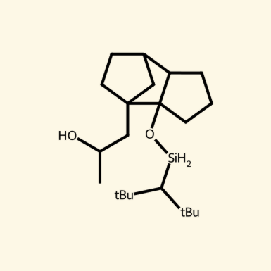 CC(O)CC12CCC(C1)C1CCCC12O[SiH2]C(C(C)(C)C)C(C)(C)C